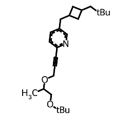 CC(COC(C)(C)C)OCC#Cc1ccc(CC2CC(CC(C)(C)C)C2)cn1